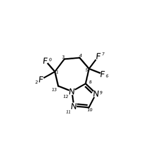 FC1(F)CCC(F)(F)c2ncnn2C1